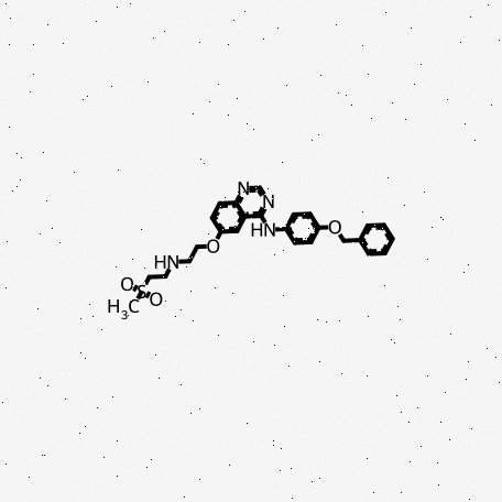 CS(=O)(=O)CCNCCOc1ccc2ncnc(Nc3ccc(OCc4ccccc4)cc3)c2c1